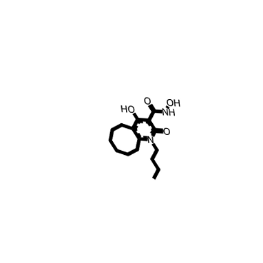 CCCCn1c2c(c(O)c(C(=O)NO)c1=O)CCCCCC2